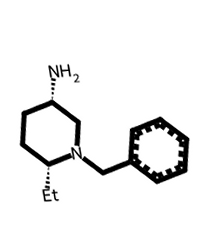 CC[C@@H]1CC[C@H](N)CN1Cc1ccccc1